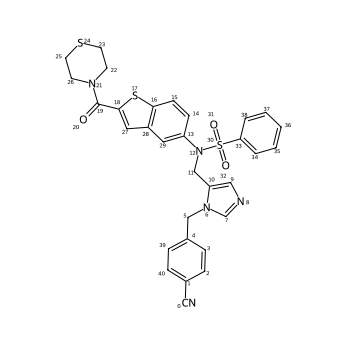 N#Cc1ccc(Cn2cncc2CN(c2ccc3sc(C(=O)N4CCSCC4)cc3c2)S(=O)(=O)c2ccccc2)cc1